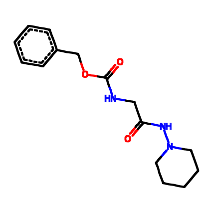 O=C(CNC(=O)OCc1ccccc1)NN1CCCCC1